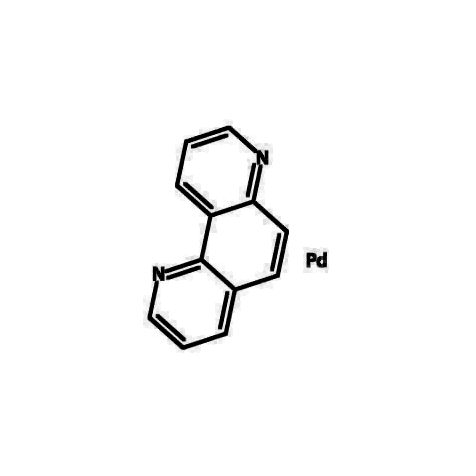 [Pd].c1cnc2c(c1)ccc1ncccc12